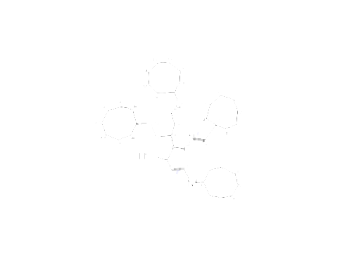 CC(/C=C/NC1CCCCCCC1)C(O/N=C/C1CCCCCCC1)C(CCOC1CCCCCCC1)SSC1CCCCCCC1